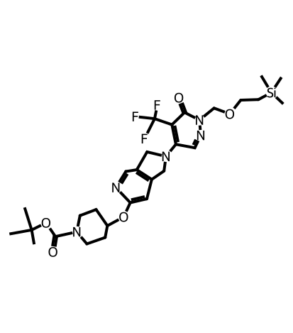 CC(C)(C)OC(=O)N1CCC(Oc2cc3c(cn2)CN(c2cnn(COCC[Si](C)(C)C)c(=O)c2C(F)(F)F)C3)CC1